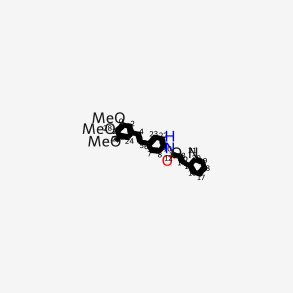 COc1cc(/C=C/c2ccc(NC(=O)/C=C/c3ccccc3[N+](=O)[O-])cc2)cc(OC)c1OC